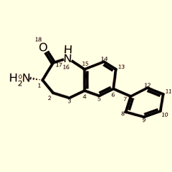 N[C@H]1CCc2cc(-c3ccccc3)ccc2NC1=O